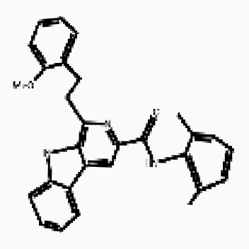 COc1ccccc1CCc1nc(C(=O)Nc2c(C)cccc2C)cc2c1[nH]c1ccccc12